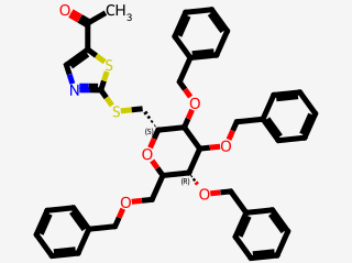 CC(=O)c1cnc(SC[C@H]2OC(COCc3ccccc3)[C@@H](OCc3ccccc3)C(OCc3ccccc3)C2OCc2ccccc2)s1